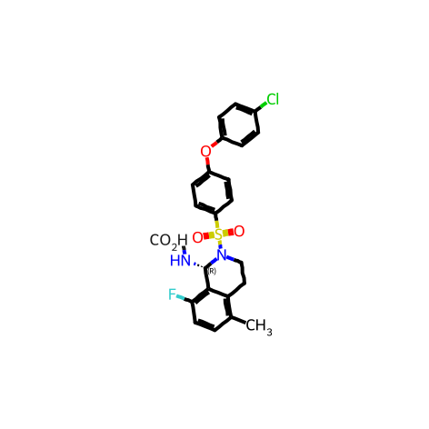 Cc1ccc(F)c2c1CCN(S(=O)(=O)c1ccc(Oc3ccc(Cl)cc3)cc1)[C@H]2NC(=O)O